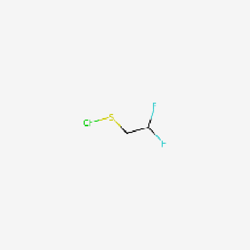 FC(F)CSCl